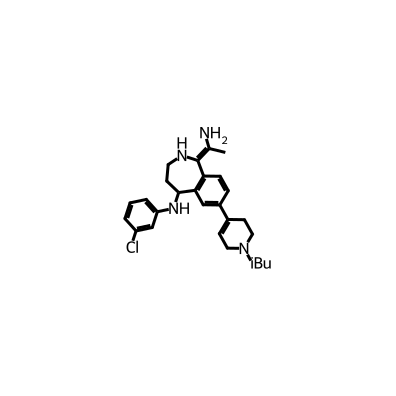 CCC(C)N1CC=C(c2ccc3c(c2)C(Nc2cccc(Cl)c2)CCN/C3=C(/C)N)CC1